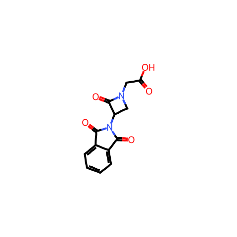 O=C(O)CN1CC(N2C(=O)c3ccccc3C2=O)C1=O